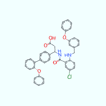 O=C(O)CC(NC(=O)c1cc(Cl)ccc1NCc1cccc(Oc2ccccc2)c1)c1ccc(-c2ccccc2Oc2ccccc2)cc1